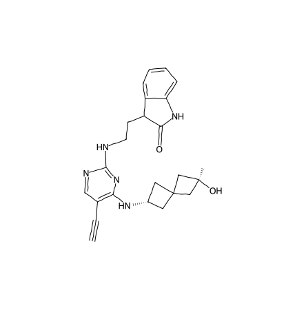 C#Cc1cnc(NCCC2C(=O)Nc3ccccc32)nc1N[C@H]1CC2(C1)C[C@](C)(O)C2